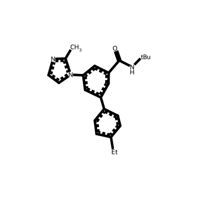 CCc1ccc(-c2cc(C(=O)NC(C)(C)C)cc(-n3ccnc3C)c2)cc1